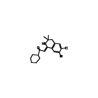 CC1(C)Cc2cc(Cl)c(Br)cc2C(=CC(=O)C2CCCCC2)N1